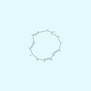 [C]1=C/C=C\CCCC/C=C/C=C\CC/1